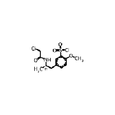 COc1ccc(C[C@@H](C)NC(=O)CCl)cc1S(=O)(=O)Cl